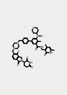 CCN(c1cc(-c2ccc(CN3CCN(Cc4ccc5c(c4F)CN(C4CCC(=O)NC4=O)C5=O)CC3)cc2)cc(C(=O)NCc2c(C)cc(C)[nH]c2=O)c1C)C1CCOCC1